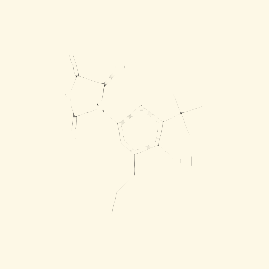 C=C1SC(=S)N(c2cc(CCC)c(O)c(C(C)(C)C)c2)C1=O